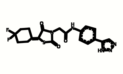 O=C(CN1C(=O)SC(=C2CCC(F)(F)CC2)C1=O)Nc1ccc(-c2cnn[nH]2)cc1